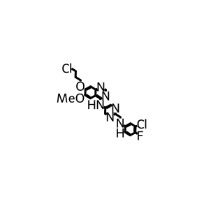 COc1cc2c(Nc3cnc(CNc4ccc(F)c(Cl)c4)nc3)ncnc2cc1OCCCCl